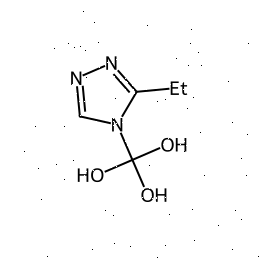 CCc1nncn1C(O)(O)O